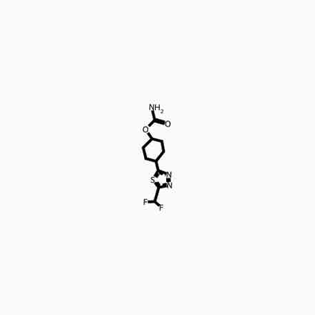 NC(=O)OC1CCC(c2nnc(C(F)F)s2)CC1